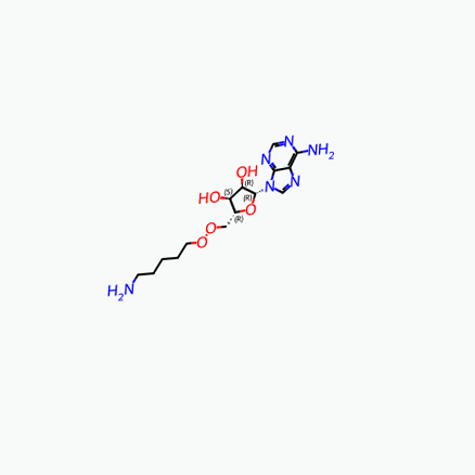 NCCCCCOOC[C@H]1O[C@@H](n2cnc3c(N)ncnc32)[C@H](O)[C@@H]1O